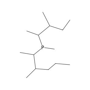 CCCC(C)C(C)P(C)C(C)C(C)CC